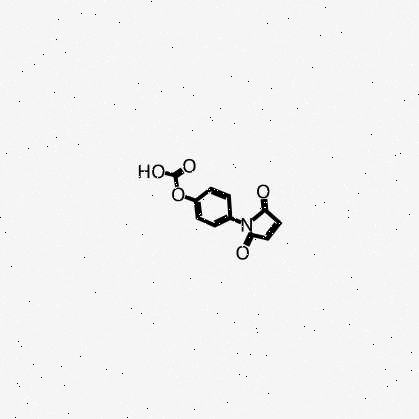 O=C(O)Oc1ccc(N2C(=O)C=CC2=O)cc1